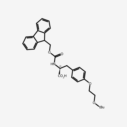 CC(C)(C)OCCOc1ccc(C[C@H](NC(=O)OCC2c3ccccc3-c3ccccc32)C(=O)O)cc1